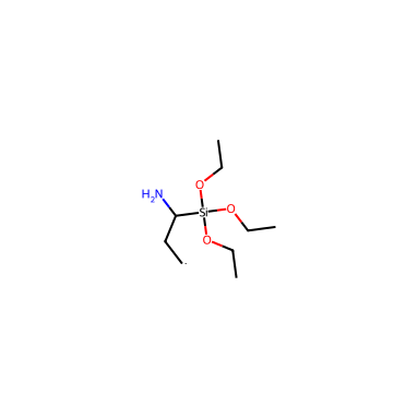 [CH2]CC(N)[Si](OCC)(OCC)OCC